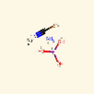 N.N#C[S-].OP(O)O.[Na+]